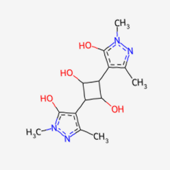 Cc1nn(C)c(O)c1C1C(O)C(c2c(C)nn(C)c2O)C1O